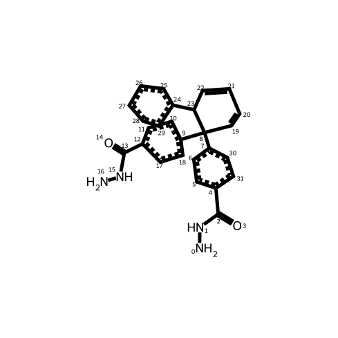 NNC(=O)c1ccc(C2(c3ccc(C(=O)NN)cc3)C=CC=CC2c2ccccc2)cc1